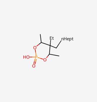 CCCCCCCCC1(CC)C(C)OP(=O)(O)OC1C